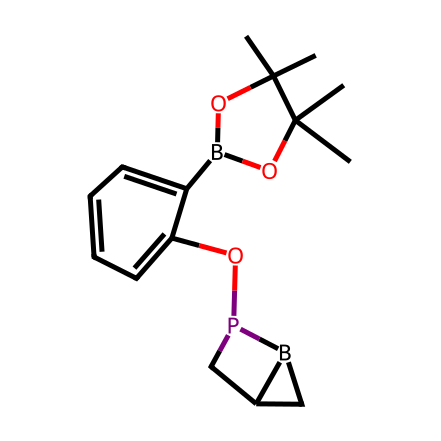 CC1(C)OB(c2ccccc2OP2CC3CB32)OC1(C)C